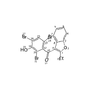 CCc1oc2ccccc2c1C(=O)c1c(Br)cc(Br)c(O)c1Br